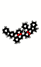 CC1(C)c2ccccc2-c2c(-c3ccccc3N(c3ccc(-c4ccc5sc6ccccc6c5c4)cc3)c3ccccc3-c3ccc4ccccc4c3)cccc21